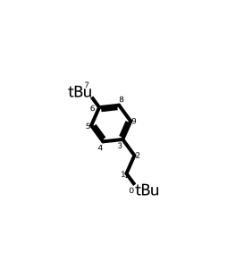 CC(C)(C)[CH]Cc1ccc(C(C)(C)C)cc1